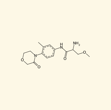 COCC(N)C(=O)Nc1ccc(N2CCOCC2=O)c(C)c1